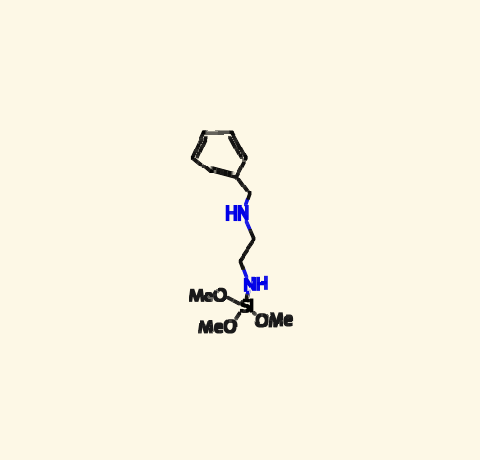 CO[Si](NCCNCc1ccccc1)(OC)OC